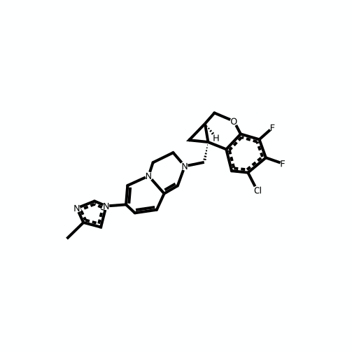 Cc1cn(C2=CN3CCN(C[C@]45C[C@H]4COc4c5cc(Cl)c(F)c4F)C=C3C=C2)cn1